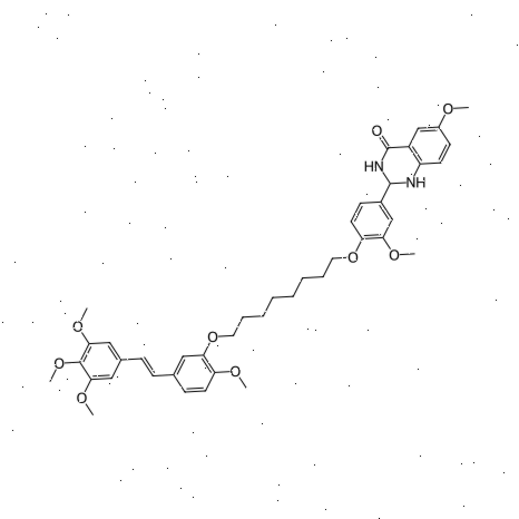 COc1ccc2c(c1)C(=O)NC(c1ccc(OCCCCCCCCOc3cc(C=Cc4cc(OC)c(OC)c(OC)c4)ccc3OC)c(OC)c1)N2